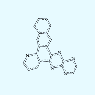 c1ccc2cc3c(cc2c1)c1ncccc1c1nc2nccnc2nc31